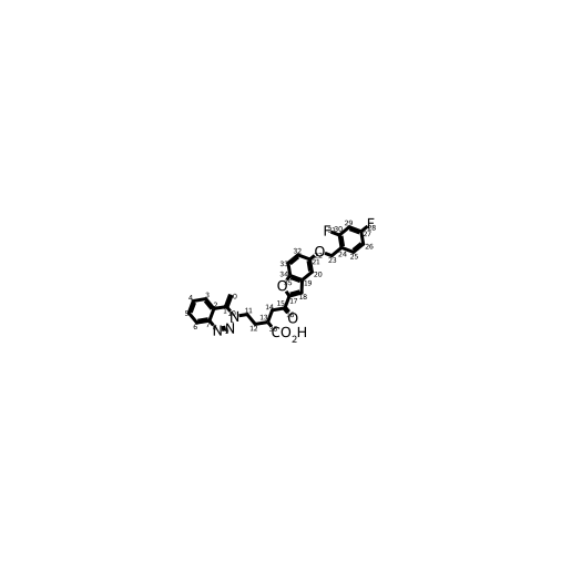 C=C1c2ccccc2N=NN1CCC(CC(=O)c1cc2cc(OCc3ccc(F)cc3F)ccc2o1)C(=O)O